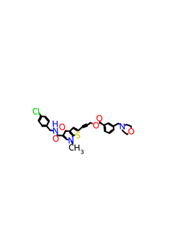 CCn1cc(C(=O)NCc2ccc(Cl)cc2)c(=O)c2cc(C#CCOC(=O)c3cccc(CN4CCOCC4)c3)sc21